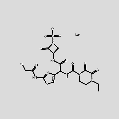 CCN1CCN(C(=O)NC(C(=O)NC2CN(S(=O)(=O)[O-])C2=O)c2csc(NC(=O)CCl)n2)C(=O)C1=O.[Na+]